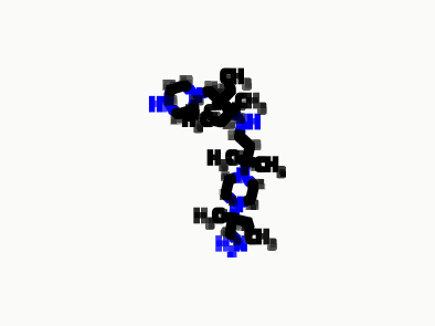 CCC(C)(CN)N1CCN(C(C)(C)CCNC(C)(CC)C(C)(CC)CN2CCNCC2)CC1